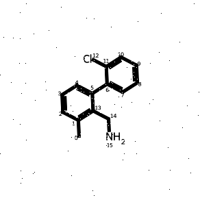 Cc1cccc(-c2ccccc2Cl)c1CN